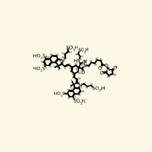 CC1(C)C(/C=C/C2=CC(=C/C=C3/N(CCCS(=O)(=O)O)c4ccc5c(S(=O)(=O)O)cc(S(=O)(=O)O)cc5c4C3(C)C)/CC(C(=O)NCCCCCC(=O)ON3C(=O)CCC3=O)(C(=O)NCCS(=O)(=O)O)C2)=[N+](CCCS(=O)(=O)O)c2ccc3c(S(=O)(=O)O)cc(S(=O)(=O)O)cc3c21